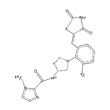 Cn1ccnc1C(=O)NC1CCN(c2c(Cl)cccc2C=C2SC(=O)NC2=O)C1